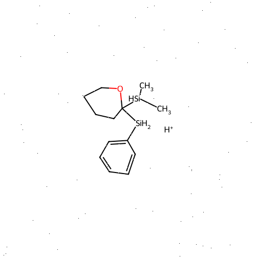 C[SiH](C)C1([SiH2]c2ccccc2)CCCCO1.[H+]